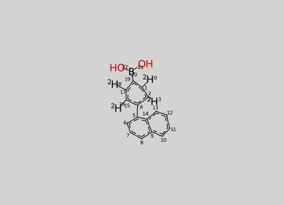 [2H]c1c([2H])c(-c2cccc3ccccc23)c([2H])c([2H])c1B(O)O